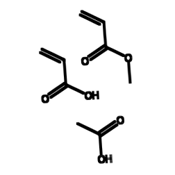 C=CC(=O)O.C=CC(=O)OC.CC(=O)O